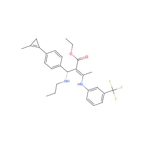 CCCN[C@@H](/C(C(=O)OCC)=C(/C)Nc1cccc(C(F)(F)F)c1)c1ccc(C2=C(C)C2)cc1